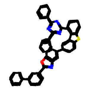 c1ccc(-c2cccc(-c3nc4cc(-c5ccc6sc7cccc(-c8nc(-c9ccccc9)nc(-c9ccccc9)n8)c7c6c5)ccc4o3)c2)cc1